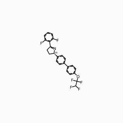 Fc1cccc(F)c1C1=N[C@@H](c2ccc(-c3ccc(OC(F)(F)C(F)F)cc3)cc2)CC1